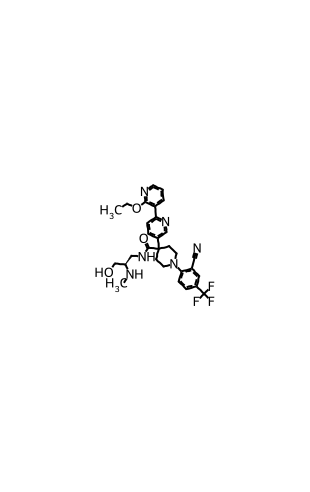 CCOc1ncccc1-c1ccc(C2(C(=O)NC[C@H](CO)NC)CCN(c3ccc(C(F)(F)F)cc3C#N)CC2)cn1